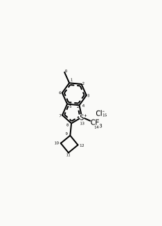 Cc1ccc2c(c1)cc(C1CCC1)[s+]2C(F)(F)F.[Cl-]